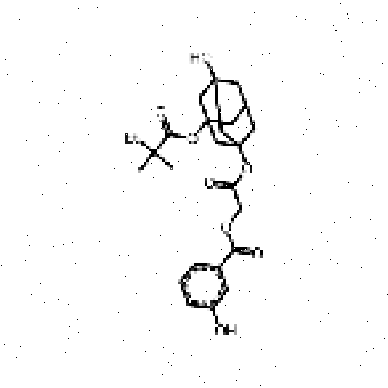 CCC(C)(C)C(=O)OC12CC3CC(O)(CC(OC(=O)COC(=O)c4cccc(O)c4)(C3)C1)C2